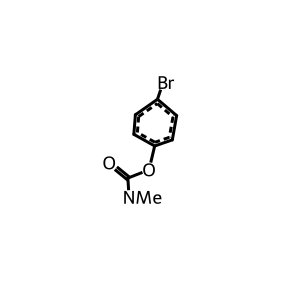 CNC(=O)Oc1ccc(Br)cc1